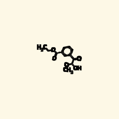 CCOC(=O)c1cccc(C(=O)C(O)OC)c1